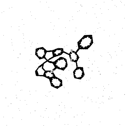 C1=Cc2c3n(c4ccccc24)-c2ccccc2C2(C(=C1)C3)c1ccccc1-c1ccc(-c3nc(-c4ccccc4)cc(-c4ccccc4)n3)cc12